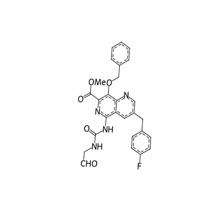 COC(=O)c1nc(NC(=O)NCC=O)c2cc(Cc3ccc(F)cc3)cnc2c1OCc1ccccc1